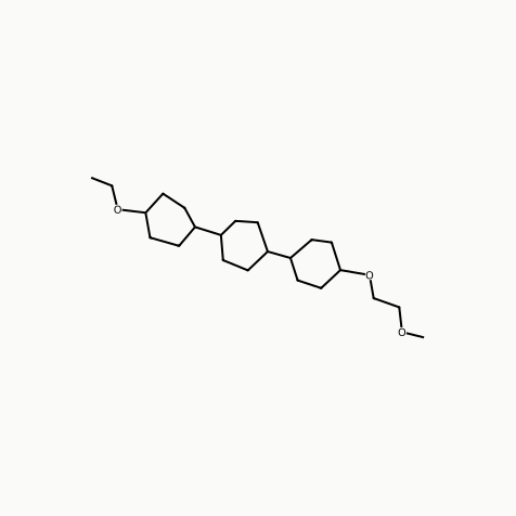 CCOC1CCC(C2CCC(C3CCC(OCCOC)CC3)CC2)CC1